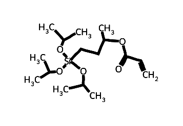 C=CC(=O)OC(C)CC[Si](OC(C)C)(OC(C)C)OC(C)C